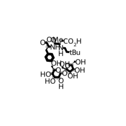 COC(=O)[C@H](Cc1ccccc1)NC(=O)[C@H](CC(=O)O)NCCC(C)(C)C.OC[C@H]1O[C@@](CO)(O[C@H]2O[C@H](CO)[C@@H](O)[C@H](O)[C@H]2O)[C@@H](O)[C@@H]1O